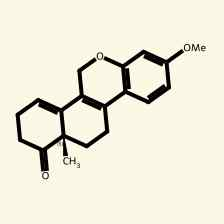 COc1ccc2c(c1)OCC1=C2CC[C@]2(C)C(=O)CCC=C12